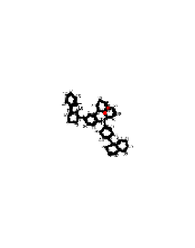 c1ccc(-c2cc(-c3cccc4c3sc3ccccc34)ccc2N(c2ccccc2)c2ccc(-c3cccc4ccccc34)cc2)cc1